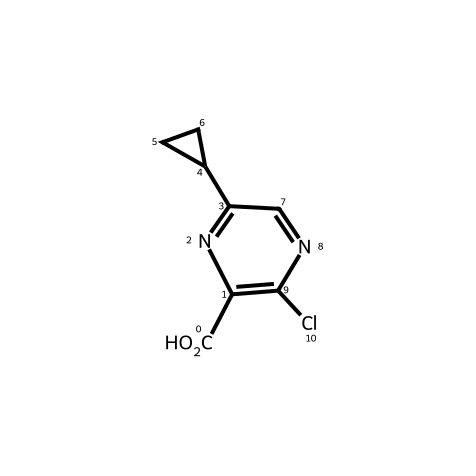 O=C(O)c1nc(C2CC2)cnc1Cl